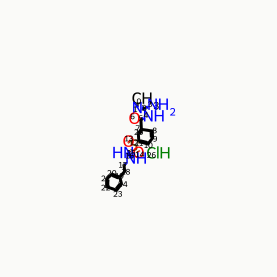 CN=C(N)NC(=O)c1cccc(S(=O)(=O)NNCCc2ccccc2)c1.Cl